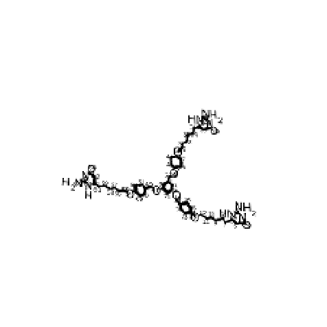 Nc1nc(=O)cc(CCCCCCOc2ccc(COc3cc(COc4ccc(OCCCCCCc5cc(=O)nc(N)[nH]5)cc4)cc(OCc4ccc(OCCCCCCc5cc(=O)nc(N)[nH]5)cc4)c3)cc2)[nH]1